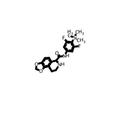 C[Si](C)(C)c1c(F)cc(NC(=O)C2NCCc3c2ccc2c3OCO2)cc1F